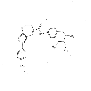 CCC(CC)N(C)Cc1ccc(NC(=O)C2=Cc3cc(-c4ccc(C)cc4)ccc3SCC2)cc1